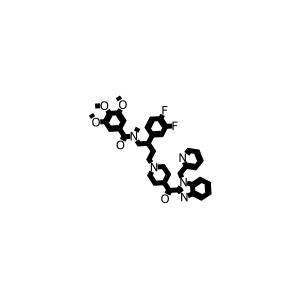 COc1cc(C(=O)N(C)CC(CCN2CCC(C(=O)c3nc4ccccc4n3Cc3ccccn3)CC2)c2ccc(F)c(F)c2)cc(OC)c1OC